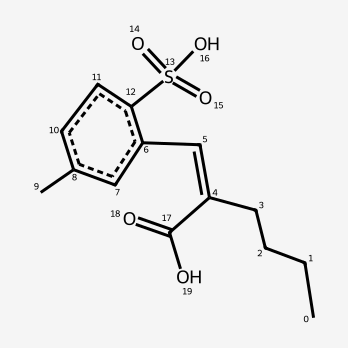 CCCCC(=Cc1cc(C)ccc1S(=O)(=O)O)C(=O)O